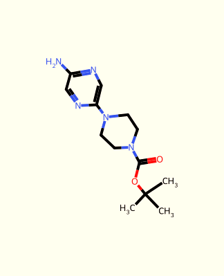 CC(C)(C)OC(=O)N1CCN(c2cnc(N)cn2)CC1